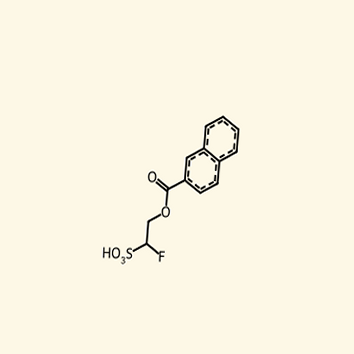 O=C(OCC(F)S(=O)(=O)O)c1ccc2ccccc2c1